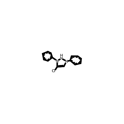 ClC1=CN(c2ccccc2)NN1c1ccccc1